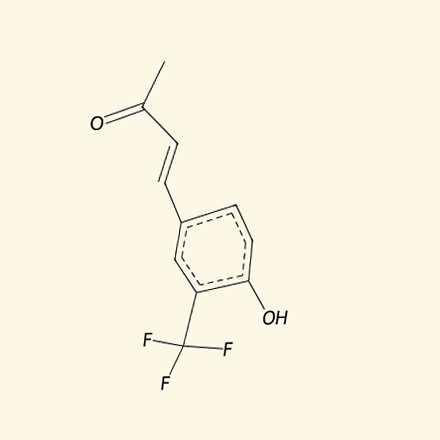 CC(=O)C=Cc1ccc(O)c(C(F)(F)F)c1